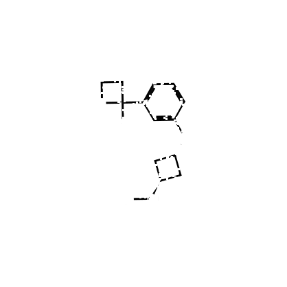 O=C(O)N[C@H]1C[C@H](Oc2cccc(C3(C(F)(F)F)CCO3)c2)C1